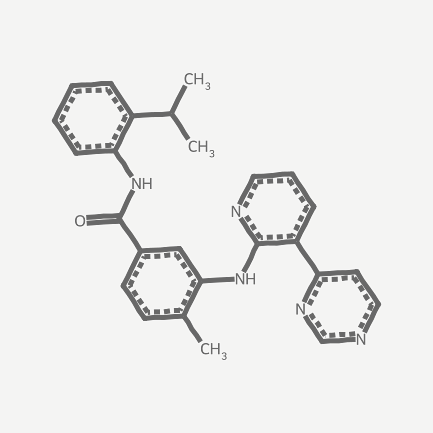 Cc1ccc(C(=O)Nc2ccccc2C(C)C)cc1Nc1ncccc1-c1ccncn1